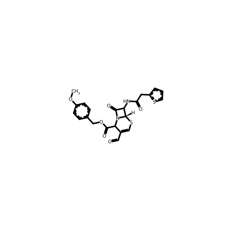 COc1ccc(COC(=O)C2C(C=O)=CS[C@H]3C(NC(=O)Cc4cccs4)C(=O)N23)cc1